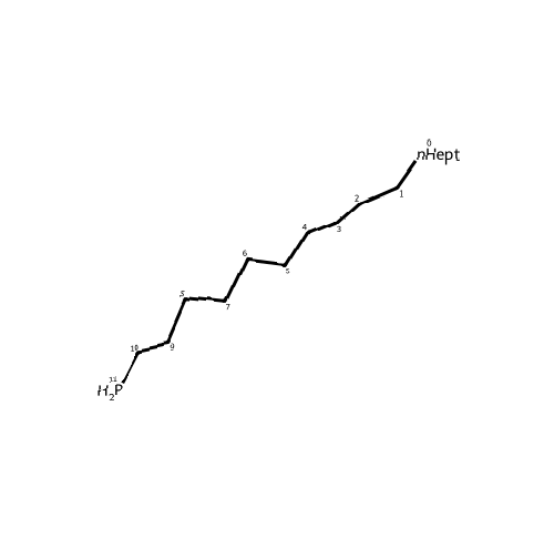 CCCCCCCCCCCCCCCCCP